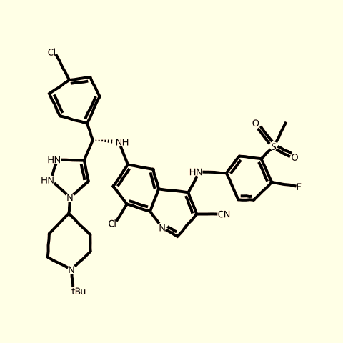 CC(C)(C)N1CCC(N2C=C([C@@H](Nc3cc(Cl)c4ncc(C#N)c(Nc5ccc(F)c(S(C)(=O)=O)c5)c4c3)c3ccc(Cl)cc3)NN2)CC1